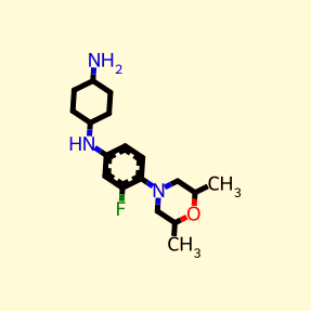 CC1CN(c2ccc(NC3CCC(N)CC3)cc2F)CC(C)O1